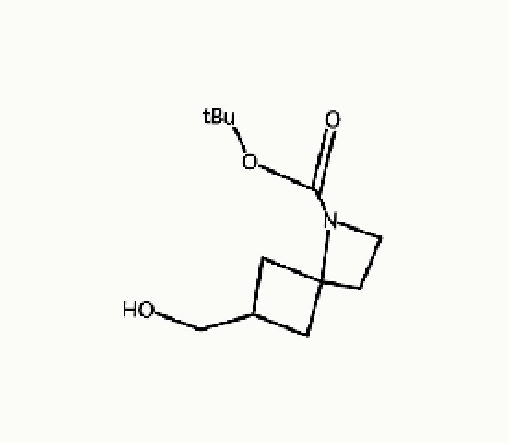 CC(C)(C)OC(=O)N1CCC12CC(CO)C2